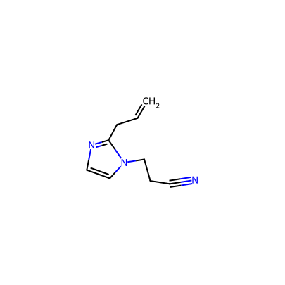 C=CCc1nccn1CCC#N